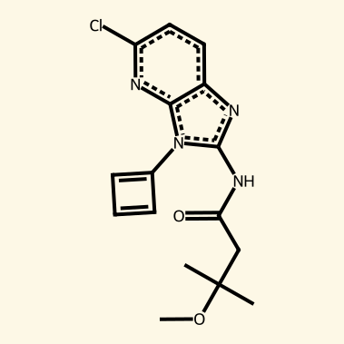 COC(C)(C)CC(=O)Nc1nc2ccc(Cl)nc2n1C1=CC=C1